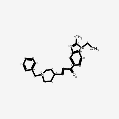 CCn1c(C)nc2cc(C(=O)C=CC3CCN(Cc4ccccc4)CC3)ccc21